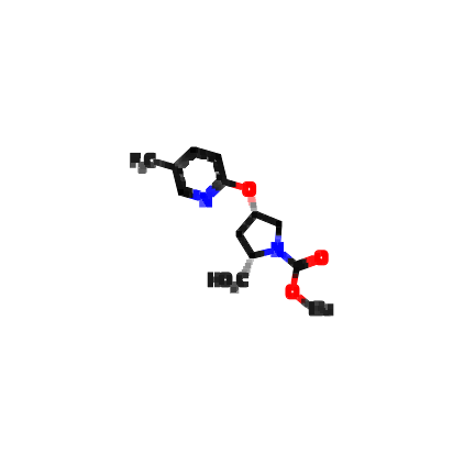 CC(C)(C)OC(=O)N1C[C@@H](Oc2ccc(C(F)(F)F)cn2)C[C@H]1C(=O)O